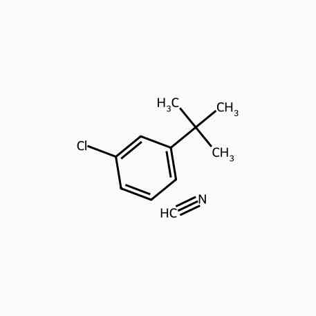 C#N.CC(C)(C)c1cccc(Cl)c1